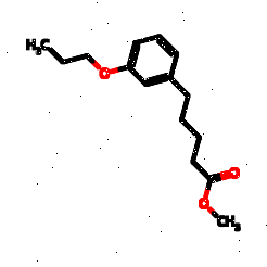 CCCOc1cccc(CCCCC(=O)OC)c1